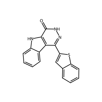 O=c1[nH]nc(-c2cc3ccccc3s2)c2c1[nH]c1ccccc12